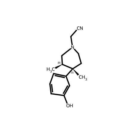 C[C@H]1CN(CC#N)CC[C@]1(C)c1cccc(O)c1